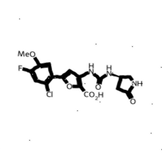 COc1cc(-c2cc(NC(=O)N[C@H]3CNC(=O)C3)c(C(=O)O)o2)c(Cl)cc1F